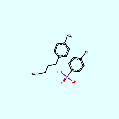 CCc1ccc(P(=O)(O)O)cc1.O=C(O)CCCc1ccc([N+](=O)[O-])cc1